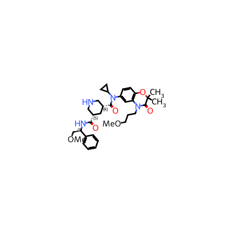 COCCCN1C(=O)C(C)(C)Oc2ccc(N(C(=O)[C@H]3CNC[C@@H](C(=O)N[C@H](COC)c4ccccc4)C3)C3CC3)cc21